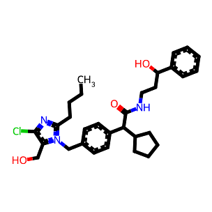 CCCCc1nc(Cl)c(CO)n1Cc1ccc(C(C(=O)NCCC(O)c2ccccc2)C2CCCC2)cc1